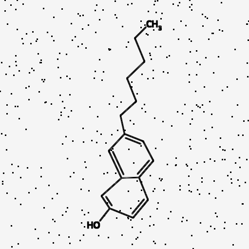 CCCCCCc1ccc2ccc(O)cc2c1